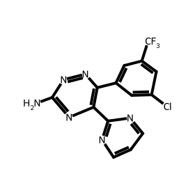 Nc1nnc(-c2cc(Cl)cc(C(F)(F)F)c2)c(-c2ncccn2)n1